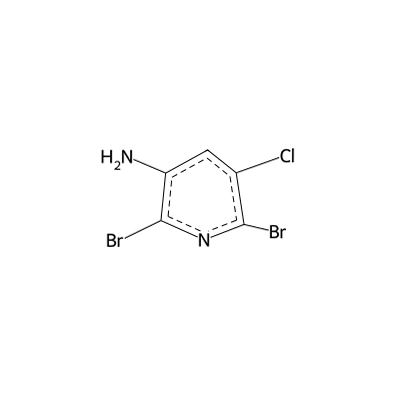 Nc1cc(Cl)c(Br)nc1Br